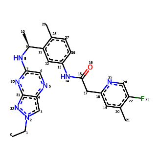 CCn1cc2ncc(N[C@@H](C)c3cc(NC(=O)Cc4cc(C)c(F)cn4)ccc3C)nc2n1